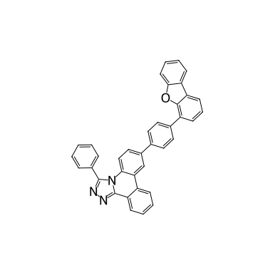 c1ccc(-c2nnc3c4ccccc4c4cc(-c5ccc(-c6cccc7c6oc6ccccc67)cc5)ccc4n23)cc1